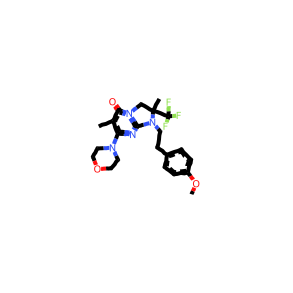 COc1ccc(CCN2c3nc(N4CCOCC4)c(C)c(=O)n3CC2(C)C(F)(F)F)cc1